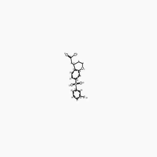 O=C(Cl)CC1CCOc2cc(S(=O)(=O)c3cccc(F)c3)ccc21